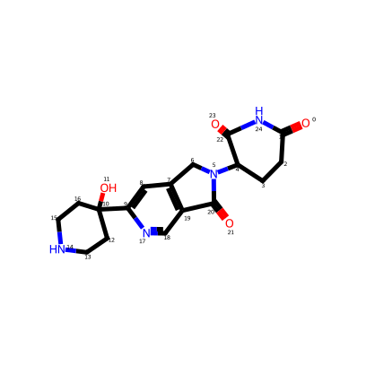 O=C1CCC(N2Cc3cc(C4(O)CCNCC4)ncc3C2=O)C(=O)N1